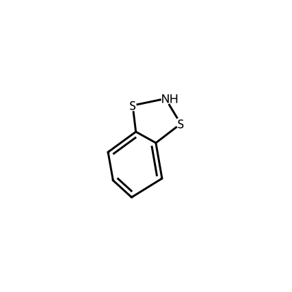 c1ccc2c(c1)SNS2